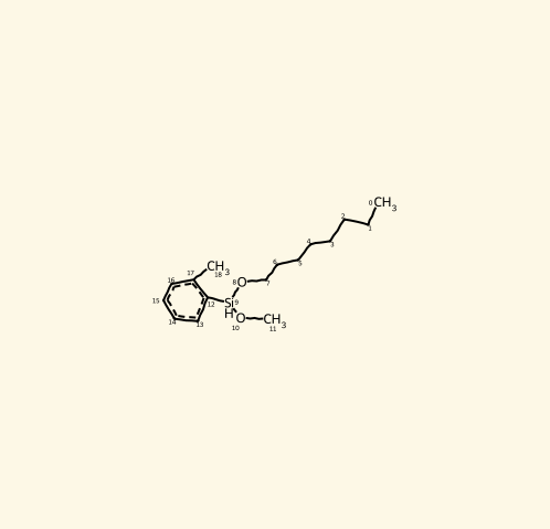 CCCCCCCCO[SiH](OC)c1ccccc1C